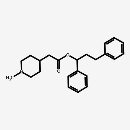 CN1CCC(CC(=O)OC(CCc2ccccc2)c2ccccc2)CC1